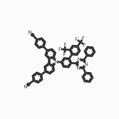 N#Cc1ccc(-c2ccc3c(c2)c2cc(-c4ccc(C#N)cc4)ccc2n3-c2ccc(-c3nc(-c4ccccc4)nc(-c4ccccc4)n3)c(-c3ccc(C(F)(F)F)cc3C(F)(F)F)c2)cc1